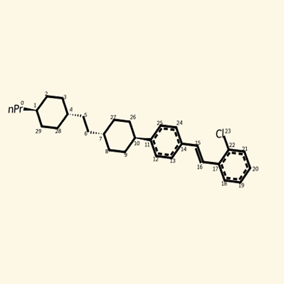 CCC[C@H]1CC[C@H](CC[C@H]2CC[C@H](c3ccc(C=Cc4ccccc4Cl)cc3)CC2)CC1